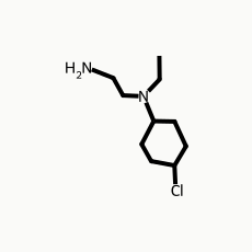 CCN(CCN)C1CCC(Cl)CC1